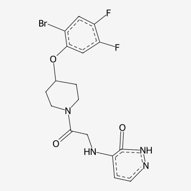 O=C(CNc1ccn[nH]c1=O)N1CCC(Oc2cc(F)c(F)cc2Br)CC1